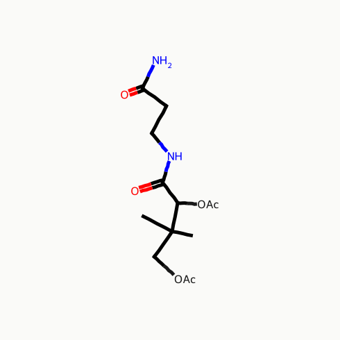 CC(=O)OCC(C)(C)C(OC(C)=O)C(=O)NCCC(N)=O